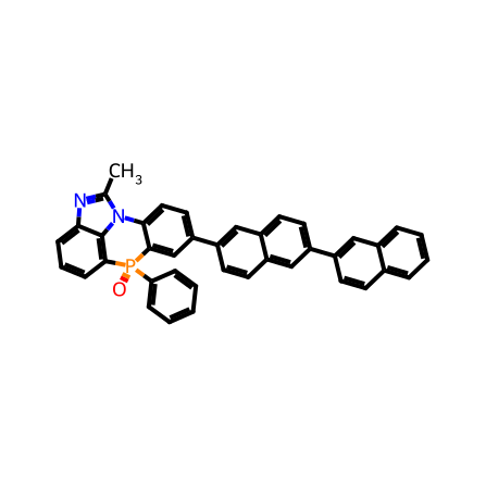 Cc1nc2cccc3c2n1-c1ccc(-c2ccc4cc(-c5ccc6ccccc6c5)ccc4c2)cc1P3(=O)c1ccccc1